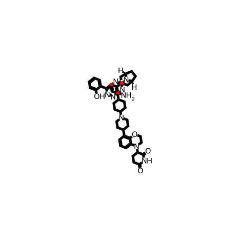 Nc1nnc(-c2ccccc2O)cc1N1C[C@H]2CC[C@@H](C1)N2c1nccc(C2CCC(N3CCC(c4cccc5c4OCCN5C4CCC(=O)NC4=O)CC3)CC2)n1